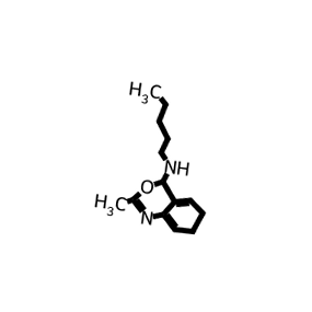 CCCCCNC1OC(C)=NC2=CCCC=C21